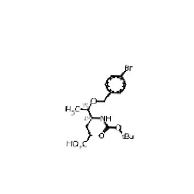 C[C@@H](OCc1ccc(Br)cc1)[C@H](CCC(=O)O)NC(=O)OC(C)(C)C